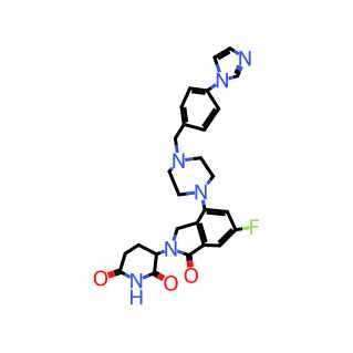 O=C1CCC(N2Cc3c(cc(F)cc3N3CCN(Cc4ccc(-n5ccnc5)cc4)CC3)C2=O)C(=O)N1